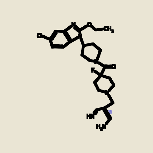 CCOc1nc2cc(Cl)ccc2n1C1CCN(C(=O)C2(F)CCN(C/C(C=N)=C/N)CC2)CC1